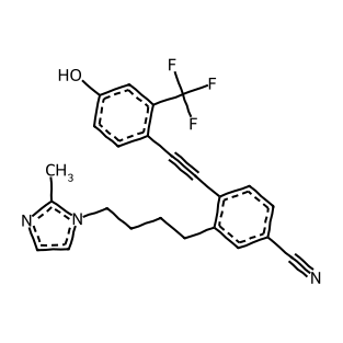 Cc1nccn1CCCCc1cc(C#N)ccc1C#Cc1ccc(O)cc1C(F)(F)F